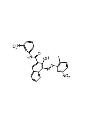 Cc1ccc([N+](=O)[O-])cc1N=Nc1c(O)c(C(=O)Nc2cccc([N+](=O)[O-])c2)cc2ccccc12